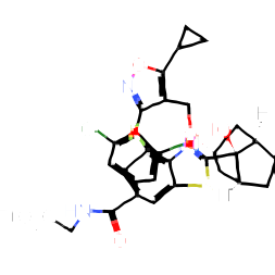 CCOC(=O)CNC(=O)c1cc(F)c2nc([C@]3(O)[C@@H]4CC[C@H]3C[C@H](OCc3c(-c5c(Cl)cccc5Cl)noc3C3CC3)C4)sc2c1